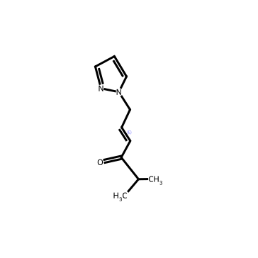 CC(C)C(=O)/C=C/Cn1cccn1